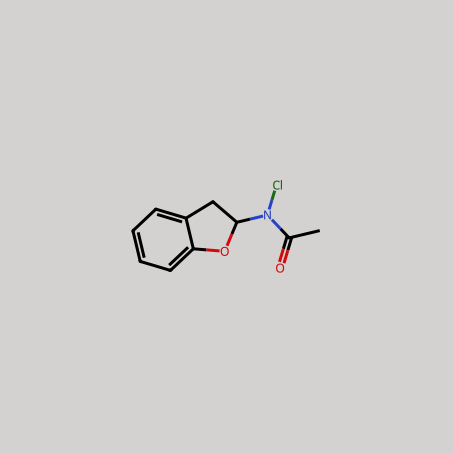 CC(=O)N(Cl)C1Cc2ccccc2O1